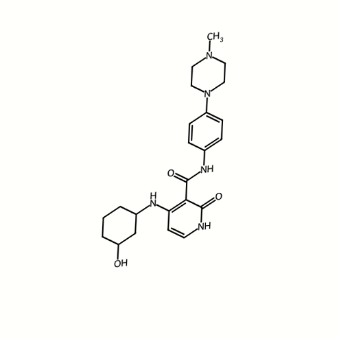 CN1CCN(c2ccc(NC(=O)c3c(NC4CCCC(O)C4)cc[nH]c3=O)cc2)CC1